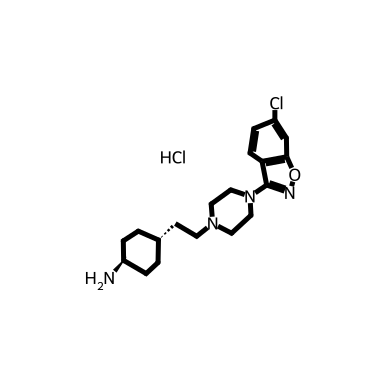 Cl.N[C@H]1CC[C@H](CCN2CCN(c3noc4cc(Cl)ccc34)CC2)CC1